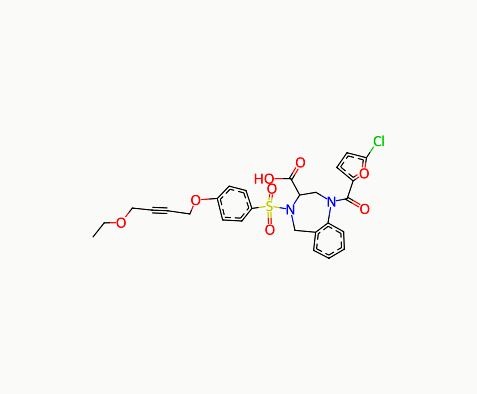 CCOCC#CCOc1ccc(S(=O)(=O)N2Cc3ccccc3N(C(=O)c3ccc(Cl)o3)CC2C(=O)O)cc1